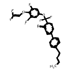 CCCCc1ccc(-c2ccc(C(F)(F)Oc3cc(F)c(OC=C(F)F)c(F)c3)c(F)c2)cc1